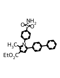 CCOC(=O)c1cc(-c2ccc(-c3ccccc3)cc2)n(-c2ccc(S(N)(=O)=O)cc2)c1C